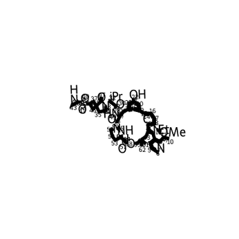 CCn1c(-c2cccnc2[C@H](C)OC)c2c3cc(ccc31)-c1cc(O)cc(c1)C[C@H](NC(=O)C(C(C)C)N1CCC3(CC(S(=O)(=O)[C@H]4CN4)C3)C1=O)C(=O)N1CCC[C@H](N1)C(=O)OCC(C)(C)C2